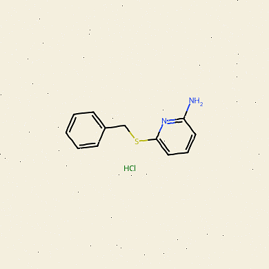 Cl.Nc1cccc(SCc2ccccc2)n1